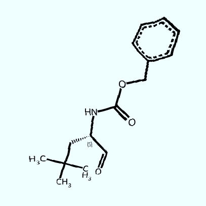 CC(C)(C)C[C@@H](C=O)NC(=O)OCc1ccccc1